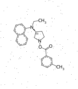 CCN(c1cccc2ccccc12)[C@H]1CCN(OC(=O)c2cccc(C)c2)C1